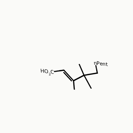 CCCCCCC(C)(C)/C(C)=C/C(=O)O